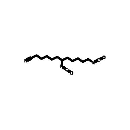 N#CCCCCCC(CCCCCN=C=O)N=C=O